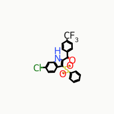 O=C(c1ccc(C(F)(F)F)cc1)c1[nH]c2cc(Cl)ccc2c1S(=O)(=O)c1ccccc1